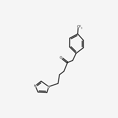 O=C(CCCn1ccnc1)Cc1ccc(C(F)(F)F)cc1